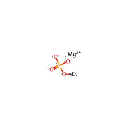 CCOP(=O)([O-])[O-].[Mg+2]